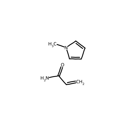 C=CC(N)=O.Cn1cccc1